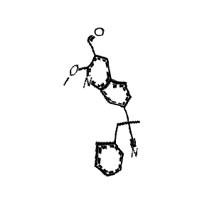 COc1nc2cc(C(C)(C#N)Cc3ccccc3)ccc2cc1C=O